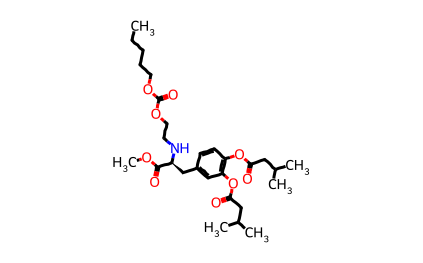 CCCCCOC(=O)OCCN[C@@H](Cc1ccc(OC(=O)CC(C)C)c(OC(=O)CC(C)C)c1)C(=O)OC